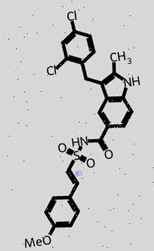 COc1ccc(/C=C/S(=O)(=O)NC(=O)c2ccc3[nH]c(C)c(Cc4ccc(Cl)cc4Cl)c3c2)cc1